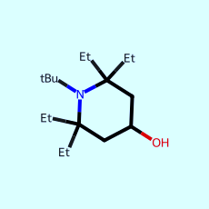 CCC1(CC)CC(O)CC(CC)(CC)N1C(C)(C)C